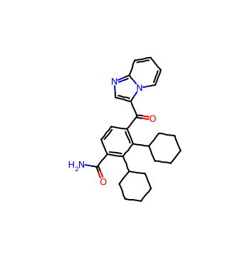 NC(=O)c1ccc(C(=O)c2cnc3ccccn23)c(C2CCCCC2)c1C1CCCCC1